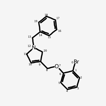 Brc1ccccc1OCC1=CCN(Cc2ccccc2)C1